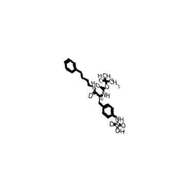 CC(C)(C)OC(=O)N[C@@H](Cc1ccc(NS(=O)(=O)O)cc1)C(=O)NCCCCc1ccccc1